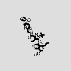 CCCC(F)(F)c1c(Oc2c(CC)c(C(=O)NCc3ccc([SH](=O)(C=O)CC)cn3)nn2C(C)(C)C)cncc1C(C)O